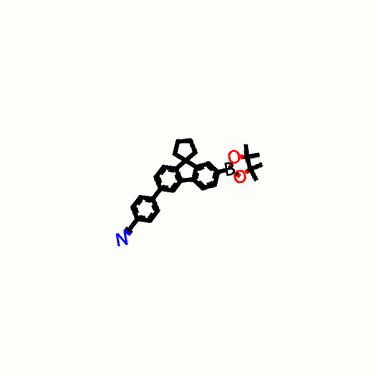 CC1(C)OB(c2ccc3c(c2)C2(CCCC2)c2ccc(-c4ccc(C#N)cc4)cc2-3)OC1(C)C